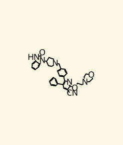 N#Cc1cc(-c2ccccc2)c(-c2ccc(CN3CCC(n4c(=O)[nH]c5ccccc54)CC3)cc2)nc1OCCN1CCOCC1